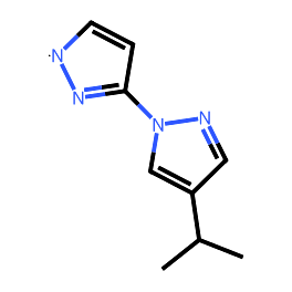 CC(C)c1cnn(C2=N[N]C=C2)c1